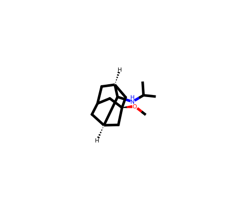 CO[C@]12CC3C[C@H](C1)C(NC(C)C)[C@@H](C3)C2